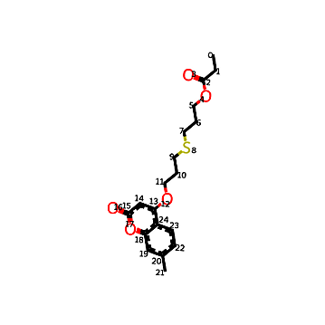 CCC(=O)OCCCSCCCOc1cc(=O)oc2cc(C)ccc12